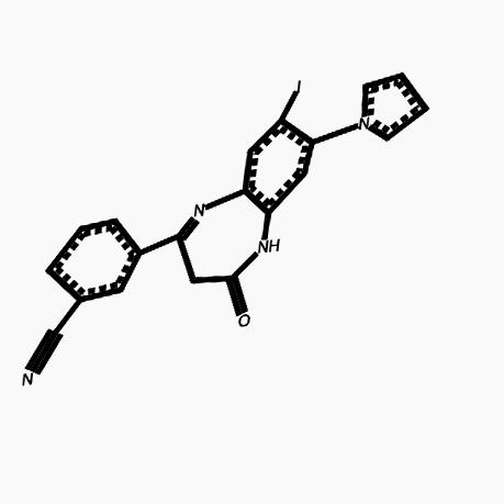 N#Cc1cccc(C2=Nc3cc(I)c(-n4cccc4)cc3NC(=O)C2)c1